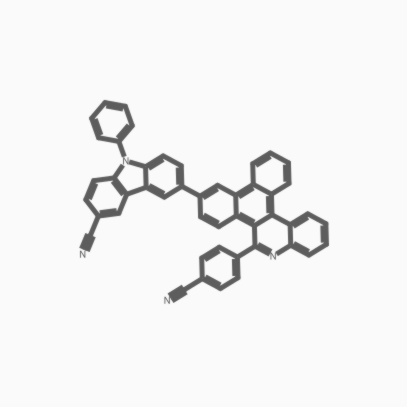 N#Cc1ccc(-c2nc3ccccc3c3c4ccccc4c4cc(-c5ccc6c(c5)c5cc(C#N)ccc5n6-c5ccccc5)ccc4c23)cc1